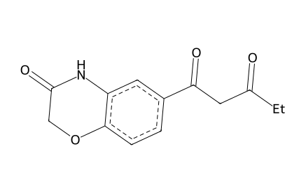 CCC(=O)CC(=O)c1ccc2c(c1)NC(=O)CO2